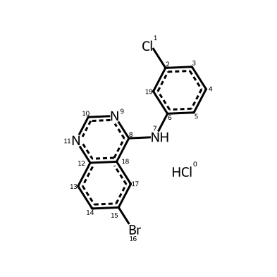 Cl.Clc1cccc(Nc2ncnc3ccc(Br)cc23)c1